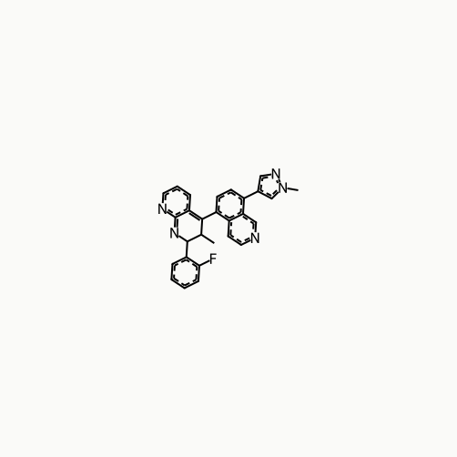 CC1C(c2ccc(-c3cnn(C)c3)c3cnccc23)=c2cccnc2=NC1c1ccccc1F